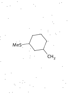 CSC1CC[CH]C(C)C1